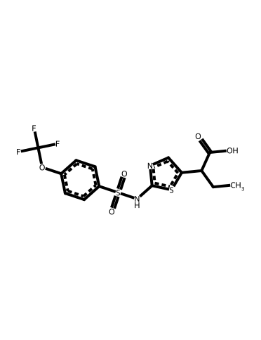 CCC(C(=O)O)c1cnc(NS(=O)(=O)c2ccc(OC(F)(F)F)cc2)s1